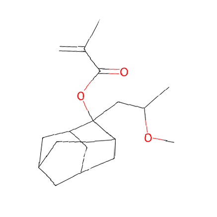 C=C(C)C(=O)OC1(CC(C)OC)C2CC3CC(C2)CC1C3